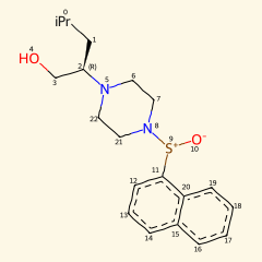 CC(C)C[C@H](CO)N1CCN([S+]([O-])c2cccc3ccccc23)CC1